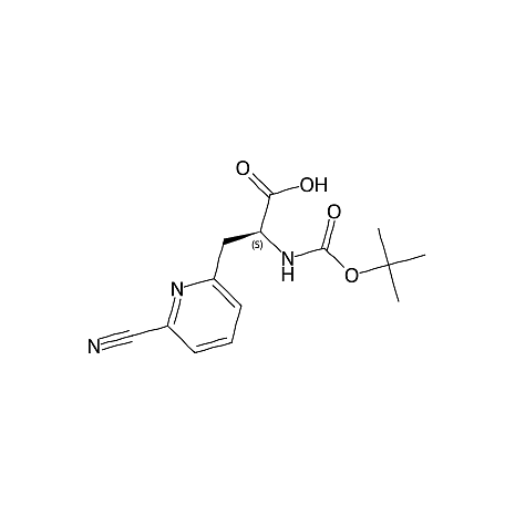 CC(C)(C)OC(=O)N[C@@H](Cc1cccc(C#N)n1)C(=O)O